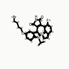 CC(C)n1cc(C2=C(c3c(F)ccc4ccoc34)C(=O)NC2=O)c2cc(OCCCCBr)ccc21